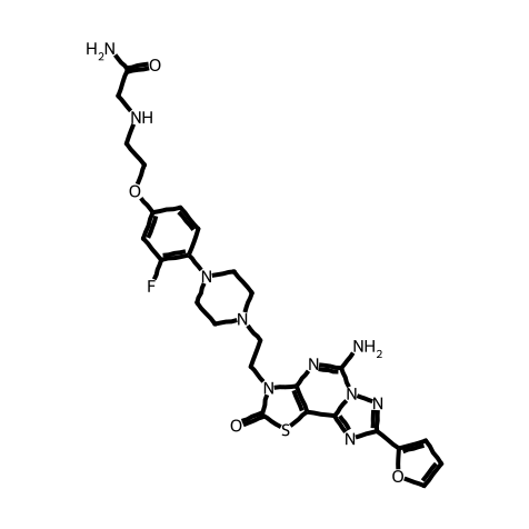 NC(=O)CNCCOc1ccc(N2CCN(CCn3c(=O)sc4c3nc(N)n3nc(-c5ccco5)nc43)CC2)c(F)c1